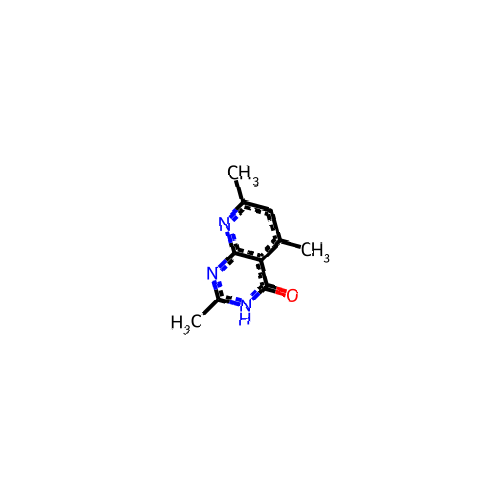 Cc1cc(C)c2c(=O)[nH]c(C)nc2n1